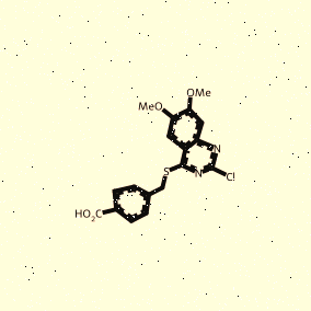 COc1cc2nc(Cl)nc(SCc3ccc(C(=O)O)cc3)c2cc1OC